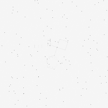 Cl.NC1(c2ncon2)CCC1